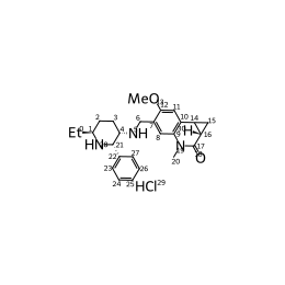 CC[C@H]1CC[C@H](NCc2cc3c(cc2OC)C2C[C@@H]2C(=O)N3C)[C@H](c2ccccc2)N1.Cl